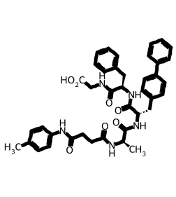 Cc1ccc(NC(=O)CCC(=O)N[C@H](C)C(=O)N[C@@H](Cc2ccc(-c3ccccc3)cc2)C(=O)N[C@H](Cc2ccccc2)C(=O)NCC(=O)O)cc1